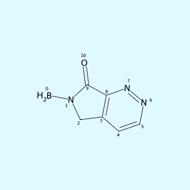 BN1Cc2ccnnc2C1=O